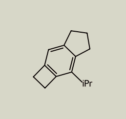 CC(C)c1c2c(cc3c1CC3)CCC2